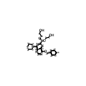 OCCON(OCCO)c1nc(N2CCSCC2)c2ncnc(OCc3ccccc3)c2n1